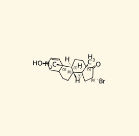 C[C@]12C=C[C@H](O)CC1CC[C@@H]1[C@@H]2CC[C@]2(C)C(=O)[C@H](Br)C[C@@H]12